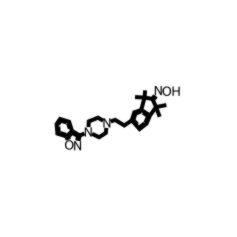 CC1(C)/C(=N\O)C(C)(C)c2cc(CCN3CCN(c4noc5ccccc45)CC3)ccc21